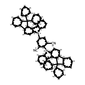 N#Cc1cc(-n2c3ccccc3c3c4c(ccc32)-c2ccccc2C4(c2ccccc2)c2ccccc2)cc(C#N)c1-n1c2ccccc2c2c3c(ccc21)-c1ccccc1C3(c1ccccc1)c1ccccc1